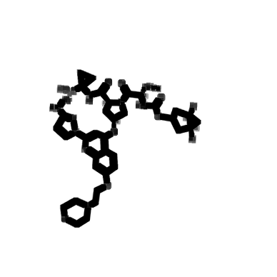 CCCCCC[C@H](NC(=O)OC1C[C@@H]2C[C@@H]2C1)C(=O)N1C[C@H](Oc2cc(-n3ccc(NC(C)C)n3)nc3cc(OCCN4CCOCC4)ccc23)C[C@H]1C(=O)NC1(C(=O)O)CC1